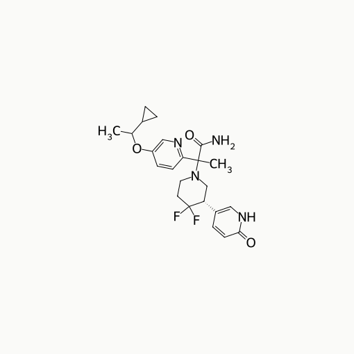 CC(Oc1ccc(C(C)(C(N)=O)N2CCC(F)(F)[C@@H](c3ccc(=O)[nH]c3)C2)nc1)C1CC1